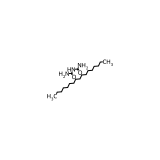 CCCCCCCCCCCCCCCCC.NC(=O)NC(N)=O